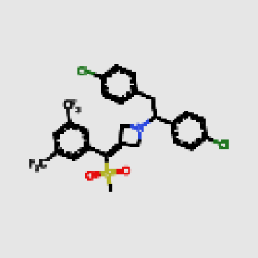 CS(=O)(=O)C(=C1CN(C(Cc2ccc(Cl)cc2)c2ccc(Cl)cc2)C1)c1cc(C(F)(F)F)cc(C(F)(F)F)c1